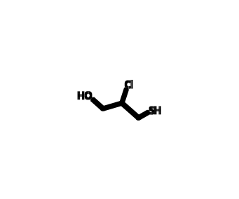 OCC(Cl)CS